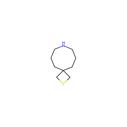 C1CNCCCC2(C1)CSC2